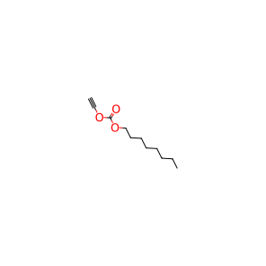 C#COC(=O)OCCCCCCCC